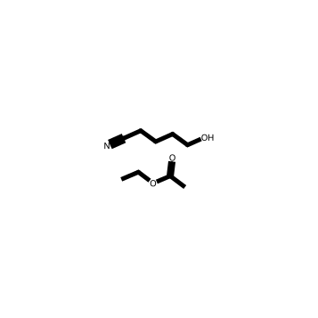 CCOC(C)=O.N#CCCCCO